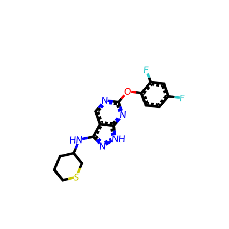 Fc1ccc(Oc2ncc3c(NC4CCCSC4)n[nH]c3n2)c(F)c1